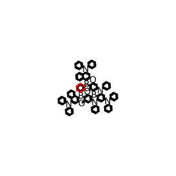 c1ccc(N(c2ccccc2)c2cc3c4c(c2)N(c2ccccc2)c2cc5c6c(c2B4c2c(cc4c7c2Oc2ccccc2B7c2c(cc(N(c7ccccc7)c7ccccc7)c7ccccc27)O4)N3c2ccccc2)Oc2ccccc2B6c2c(cc(N(c3ccccc3)c3ccccc3)c3ccccc23)O5)cc1